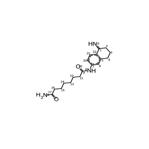 N=C1CCCc2cc(NC(=O)CCCCCCC(N)=O)ccc21